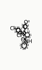 COc1ccc(-c2c3c(nn2-c2ccc(Cl)cc2Cl)C(C(=O)NN2CCCCCC2)CCC3)cc1